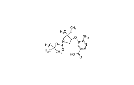 COC1(C)CN(C(=O)OC(C)(C)C)CC1Oc1cc(C(=O)O)cnc1N